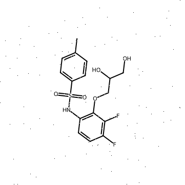 Cc1ccc(S(=O)(=O)Nc2ccc(F)c(F)c2OCC(O)CO)cc1